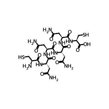 NC(=O)C[C@H](NC(=O)[C@H](CC(N)=O)NC(=O)[C@H](CC(N)=O)NC(=O)[C@H](CC(N)=O)NC(=O)[C@@H](N)CS)C(=O)N[C@@H](CS)C(=O)O